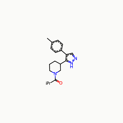 Cc1ccc(-c2cn[nH]c2C2CCCN(C(=O)C(C)C)C2)cc1